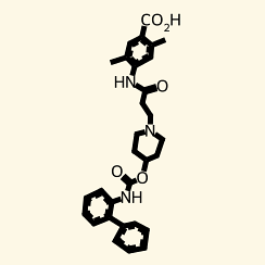 Cc1cc(C(=O)O)c(C)cc1NC(=O)CCN1CCC(OC(=O)Nc2ccccc2-c2ccccc2)CC1